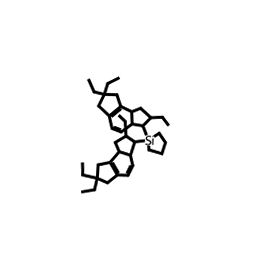 CCC1CC2C3=C(C=CC2C1[Si]1(C2C(CC)CC4C5=C(C=CC42)CC(CC)(CC)C5)CCCC1)CC(CC)(CC)C3